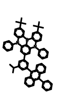 CC(C)c1cc(-c2cc3c4c(c2)N(c2ccccc2)c2ccc(C(C)(C)C)cc2B4c2cc(C(C)(C)C)ccc2N3c2ccccc2)cc(-c2c3ccccc3c(-c3ccccc3)c3ccccc23)c1